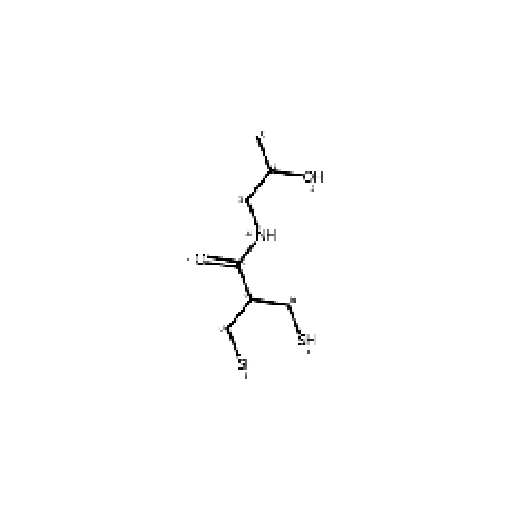 CC(O)CNC(=O)C(CS)CS